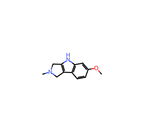 COc1ccc2c3c([nH]c2c1)CN(C)C3